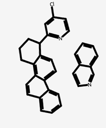 Clc1ccnc(C2CCCc3c2ccc2c3ccc3ccccc32)c1.c1ccc2cnccc2c1